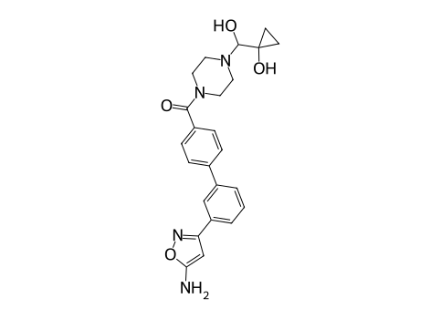 Nc1cc(-c2cccc(-c3ccc(C(=O)N4CCN(C(O)C5(O)CC5)CC4)cc3)c2)no1